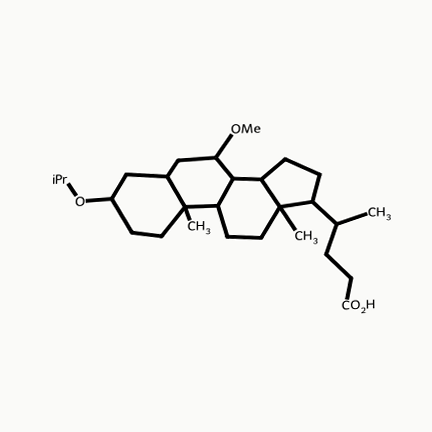 COC1CC2CC(OC(C)C)CCC2(C)C2CCC3(C)C(C(C)CCC(=O)O)CCC3C12